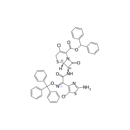 Nc1nc(/C(=N/OC(c2ccccc2)(c2ccccc2)c2ccccc2)C(=O)N[C@@H]2C(=O)N3C(C(=O)OC(c4ccccc4)c4ccccc4)=C(Cl)CS[C@@H]23)c(Cl)s1